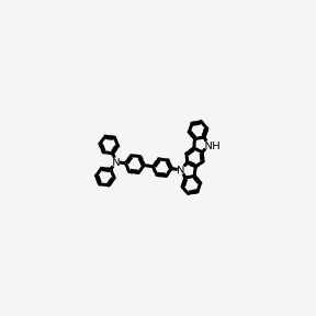 c1ccc(N(c2ccccc2)c2ccc(-c3ccc(-n4c5ccccc5c5cc6[nH]c7ccccc7c6cc54)cc3)cc2)cc1